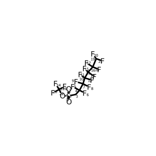 O=S(=O)(CC(F)(F)C(F)(F)C(F)(F)C(F)(F)C(F)(F)C(F)F)OC(F)(F)F